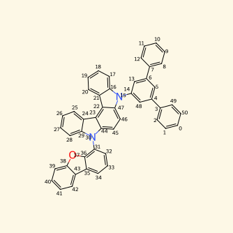 c1ccc(-c2cc(-c3ccccc3)cc(-n3c4ccccc4c4c5c6ccccc6n(-c6cccc7c6oc6ccccc67)c5ccc43)c2)cc1